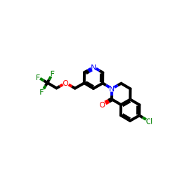 O=C1c2ccc(Cl)cc2CCN1c1cncc(COCC(F)(F)F)c1